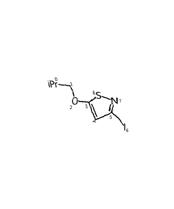 CC(C)COc1cc(I)ns1